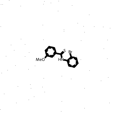 COc1cccc(C(=S)Nc2ccccc2Br)c1